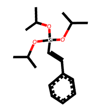 CC(C)O[Si](/C=C/c1ccccc1)(OC(C)C)OC(C)C